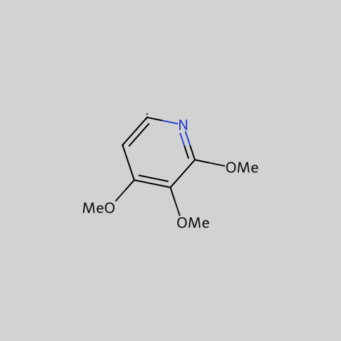 COc1c[c]nc(OC)c1OC